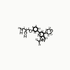 CNCC(O)COc1cccc(-c2cc(N3CCOCC3)c3cnn(C(C)C)c3n2)c1